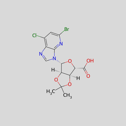 CC1(C)O[C@@H]2[C@H](O1)[C@@H](C(=O)O)O[C@H]2n1cnc2c(Cl)cc(Br)nc21